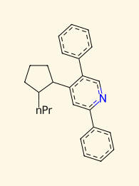 CCCC1CCCC1c1cc(-c2ccccc2)ncc1-c1ccccc1